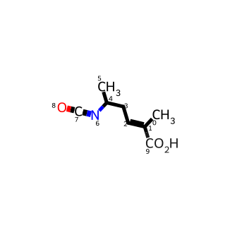 CC(=CCC(C)N=C=O)C(=O)O